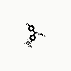 CCCC=NN=C(c1ccc(Cl)cc1)c1ccc(OS(C)(=O)=O)cc1